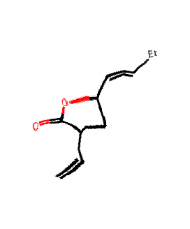 C=CC1CC(C=CCC)OC1=O